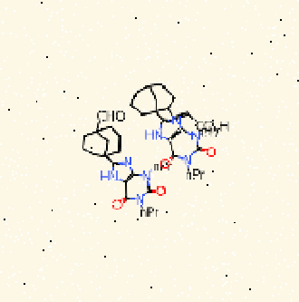 CCCn1c(=O)c2[nH]c(C34CCCC(C=O)(CCC3)C4)nc2n(CCC)c1=O.CCCn1c(=O)c2[nH]c(C34CCCC(CCC3C=CC(=O)O)C4)nc2n(CCC)c1=O